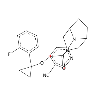 N#Cc1ccc(N2C3CCC2CN(C(=O)COC2(c4ccccc4F)CC2)C3)nc1